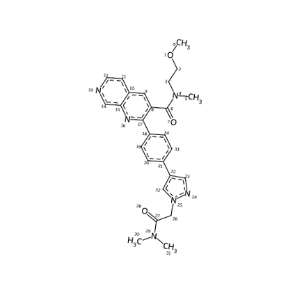 COCCN(C)C(=O)c1cc2ccncc2nc1-c1ccc(-c2cnn(CC(=O)N(C)C)c2)cc1